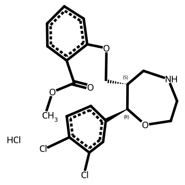 COC(=O)c1ccccc1OC[C@@H]1CNCCO[C@H]1c1ccc(Cl)c(Cl)c1.Cl